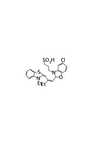 CCC(=CC1Oc2ccc(Cl)cc2N1CCCS(=O)(=O)O)C=C1Sc2ccccc2N1CC